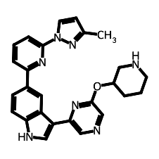 Cc1ccn(-c2cccc(-c3ccc4[nH]cc(-c5cncc(OC6CCCNC6)n5)c4c3)n2)n1